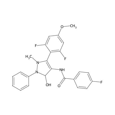 COc1cc(F)c(C2=C(NC(=O)c3ccc(F)cc3)C(O)N(c3ccccc3)N2C)c(F)c1